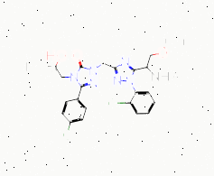 CC(=O)NC(COC(C)(C)C)c1nc(Cn2nc(-c3ccc(Cl)cc3)n(C[C@H](O)C(F)(F)F)c2=O)nn1-c1ccccc1Cl